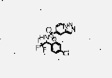 O=S(=O)(N[C@H](c1ccc(Cl)cc1)C(F)(F)F)c1ccn2nncc2c1